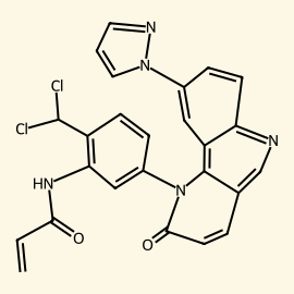 C=CC(=O)Nc1cc(-n2c(=O)ccc3cnc4ccc(-n5cccn5)cc4c32)ccc1C(Cl)Cl